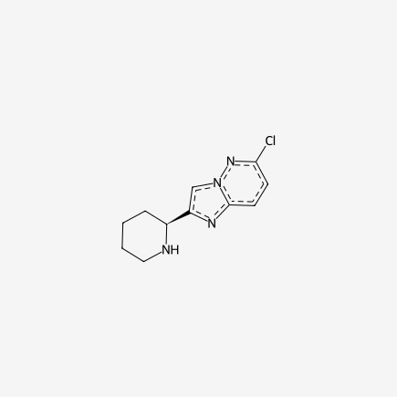 Clc1ccc2nc([C@@H]3CCCCN3)cn2n1